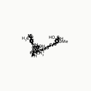 COc1cc(OCCOCCOCCOCCSC(C)(C)C(NC(=O)C2(F)CC2)C(=O)N2C[C@H](O)C[C@@H]2C(=O)NCc2ccc(-c3scnc3C)cc2)ccc1NC(=O)O